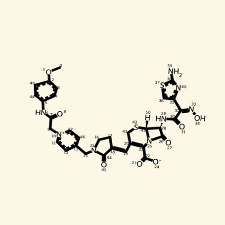 COc1ccc(NC(=O)C[n+]2ccc(CN3CCC(=CC4=C(C(=O)[O-])N5C(=O)[C@@H](NC(=O)/C(=N\O)c6csc(N)n6)[C@H]5SC4)C3=O)cc2)cc1